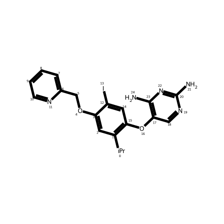 CC(C)c1cc(OCc2ccccn2)c(I)cc1Oc1cnc(N)nc1N